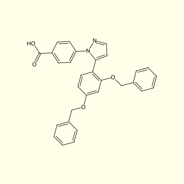 O=C(O)c1ccc(-n2nccc2-c2ccc(OCc3ccccc3)cc2OCc2ccccc2)cc1